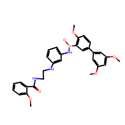 COc1cc(OC)cc(-c2ccc(OC)c([S+]([O-])Nc3cccc(NCCNC(=O)c4ccccc4OC)c3)c2)c1